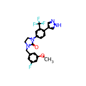 COc1cc(F)cc(CN2CCN(c3ccc(-c4cn[nH]c4)c(C(F)(F)F)c3)C2=O)c1